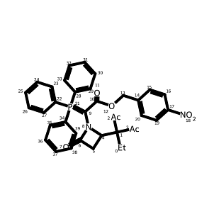 CCC(C(C)=O)(C(C)=O)C1CC(=O)N1C(C(=O)OCc1ccc([N+](=O)[O-])cc1)=P(c1ccccc1)(c1ccccc1)c1ccccc1